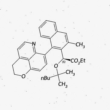 CCCCC(C)(C)O[C@H](C(=O)OCC)c1c(C)cc2ccccc2c1-c1ccc2c3c(ccnc13)CCO2